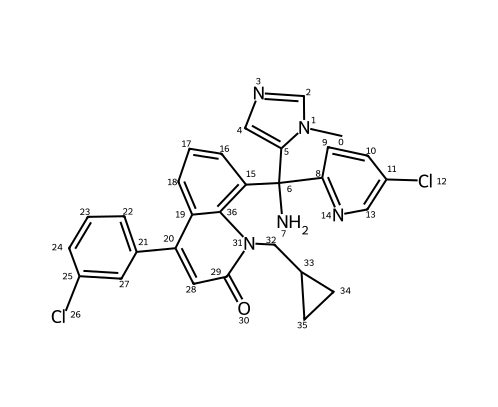 Cn1cncc1C(N)(c1ccc(Cl)cn1)c1cccc2c(-c3cccc(Cl)c3)cc(=O)n(CC3CC3)c12